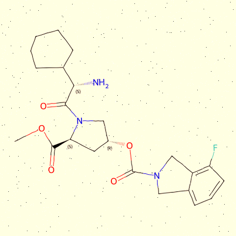 COC(=O)[C@@H]1C[C@@H](OC(=O)N2Cc3cccc(F)c3C2)CN1C(=O)[C@@H](N)C1CCCCC1